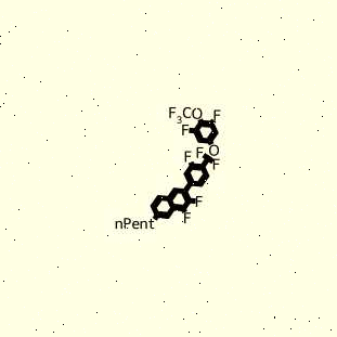 CCCCCc1ccc2cc(-c3ccc(C(F)(F)Oc4cc(F)c(OC(F)(F)F)c(F)c4)c(F)c3)c(F)c(F)c2c1